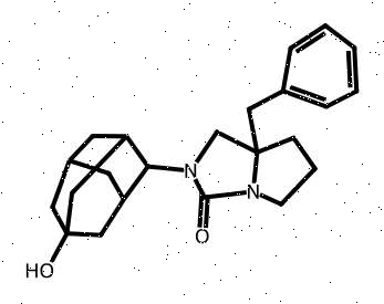 O=C1N(C2C3CC4CC2CC(O)(C4)C3)CC2(Cc3ccccc3)CCCN12